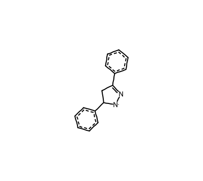 c1ccc(C2=N[N]C(c3ccccc3)C2)cc1